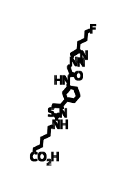 O=C(O)CCCCCNc1nc(-c2cccc(NC(=O)Cn3cc(CCCF)nn3)c2)cs1